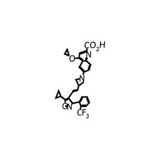 O=C(O)c1cc(OC2CC2)c2cc(N3CC(C=Cc4c(-c5ccccc5C(F)(F)F)noc4C4CC4)C3)ccc2n1